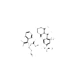 CCOCCN(C(=O)CCl)C(=C(C)C)c1ccccc1.CS(=O)(=O)c1ccc(C(=O)C2C(=O)CCCC2=O)c([N+](=O)[O-])c1